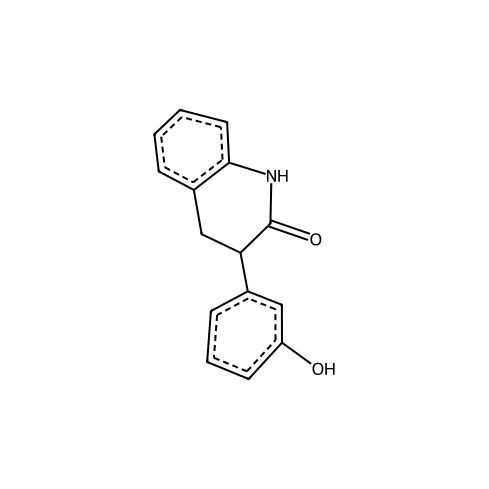 O=C1Nc2ccccc2CC1c1cccc(O)c1